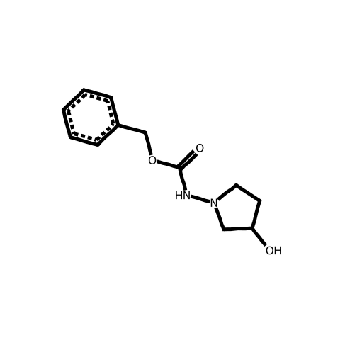 O=C(NN1CCC(O)C1)OCc1ccccc1